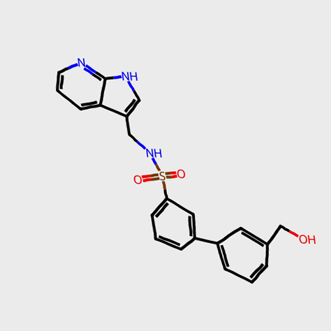 O=S(=O)(NCc1c[nH]c2ncccc12)c1cccc(-c2cccc(CO)c2)c1